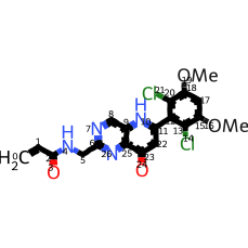 C=CC(=O)NCc1ncc2[nH]c(-c3c(Cl)c(OC)cc(OC)c3Cl)cc(=O)c2n1